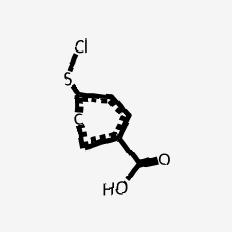 O=C(O)c1ccc(SCl)cc1